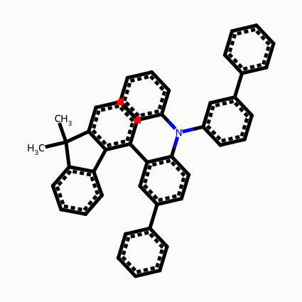 CC1(C)c2ccccc2-c2c(-c3cc(-c4ccccc4)ccc3N(c3ccccc3)c3cccc(-c4ccccc4)c3)cccc21